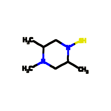 CC1CN(S)C(C)CN1C